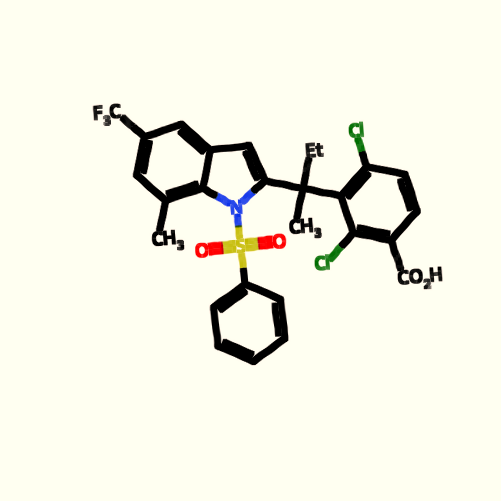 CCC(C)(c1c(Cl)ccc(C(=O)O)c1Cl)c1cc2cc(C(F)(F)F)cc(C)c2n1S(=O)(=O)c1ccccc1